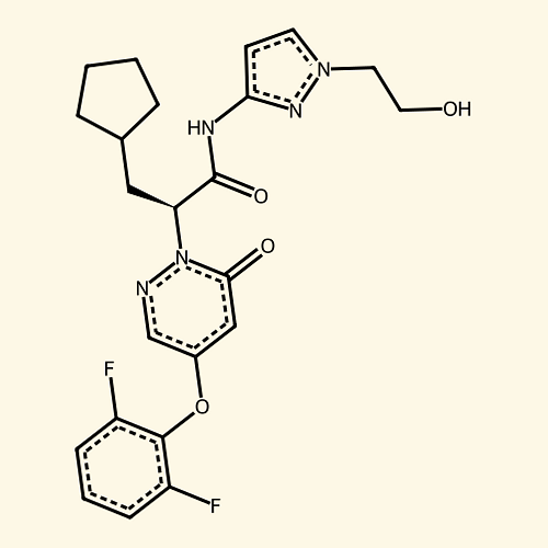 O=C(Nc1ccn(CCO)n1)[C@H](CC1CCCC1)n1ncc(Oc2c(F)cccc2F)cc1=O